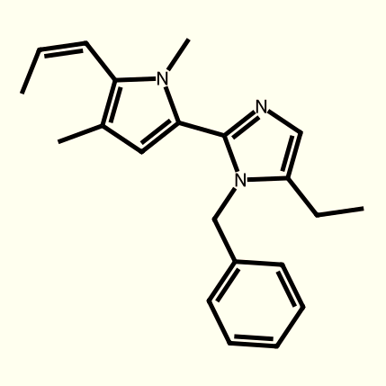 C/C=C\c1c(C)cc(-c2ncc(CC)n2Cc2ccccc2)n1C